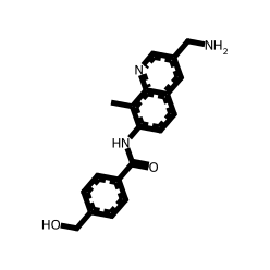 Cc1c(NC(=O)c2ccc(CO)cc2)ccc2cc(CN)cnc12